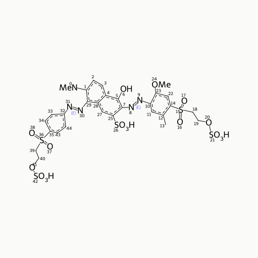 CNc1ccc2c(O)c(/N=N/c3cc(C)c(S(=O)(=O)CCOS(=O)(=O)O)cc3OC)c(S(=O)(=O)O)cc2c1/N=N/c1ccc(S(=O)(=O)CCOS(=O)(=O)O)cc1